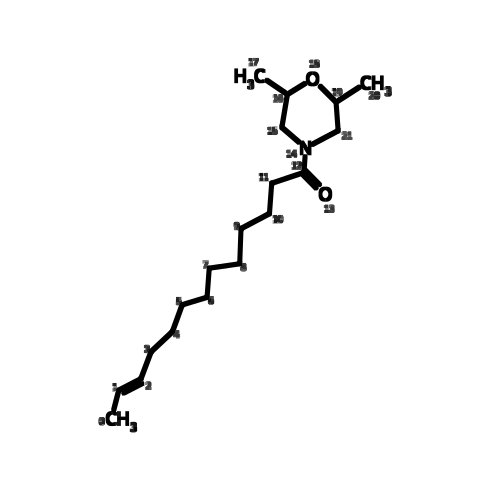 C/C=C/CCCCCCCCCC(=O)N1CC(C)OC(C)C1